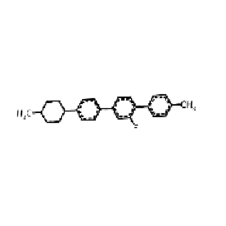 Cc1ccc(-c2ccc(-c3ccc(C4CCC(C)CC4)cc3)cc2F)cc1